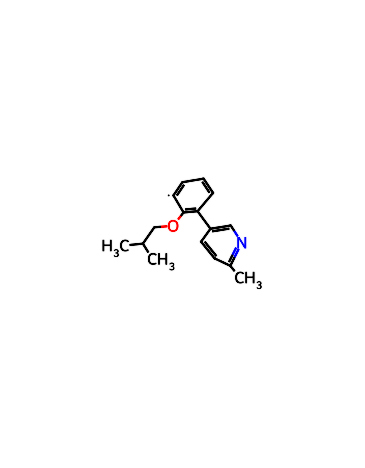 Cc1ccc(-c2ccc[c]c2OCC(C)C)cn1